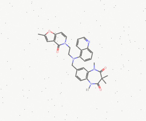 CCN1C(=O)C(C)(C)C(=O)N(C)c2cc(CN(CCn3ccc4oc(C)cc4c3=O)c3cccc4ncccc34)ccc21